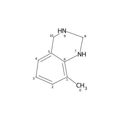 Cc1cccc2c1NCNC2